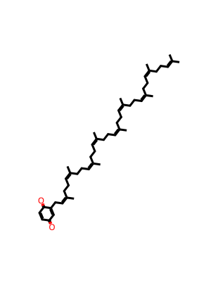 CC(C)=CCCC(C)=CCCC(C)=CCCC(C)=CCCC(C)=CCCC(C)=CCCC(C)=CCCC(C)=CCCC(C)=CCC1=CC(=O)C=CC1=O